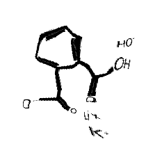 O=C([O-])c1ccccc1C(=O)O.[K+].[Li+].[OH-]